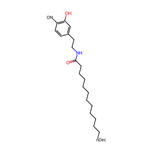 CCCCCCCCCCCCCCCCCCCCCC(=O)NCCc1ccc(N=O)c(O)c1